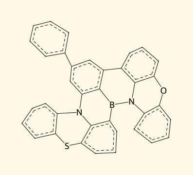 c1ccc(-c2cc3c4c(c2)N2c5ccccc5Sc5cccc(c52)B4N2c4ccccc4Oc4cccc-3c42)cc1